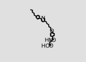 CCCCCc1ccc(-c2ccc(CCCCCCOc3ccc(C(=O)NCCC(=O)O)cc3)cn2)cc1